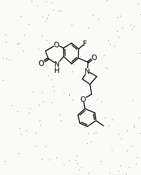 Cc1cccc(OCC2CN(C(=O)c3cc4c(cc3F)OCC(=O)N4)C2)c1